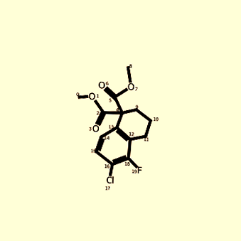 COC(=O)C1(C(=O)OC)CCCc2c1ccc(Cl)c2F